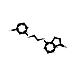 O=C1CCc2c(OCCOc3cccc(I)c3)cccc21